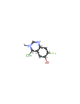 C[n+]1cnc2cc(F)c(Br)cc2c1Cl